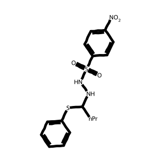 CCCC(NNS(=O)(=O)c1ccc([N+](=O)[O-])cc1)Sc1ccccc1